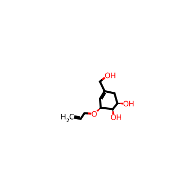 C=CCO[C@H]1C=C(CO)C[C@@H](O)[C@H]1O